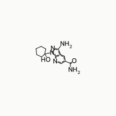 NC(=O)c1cnc2c(c1)c(N)nn2C1(O)CCCCC1